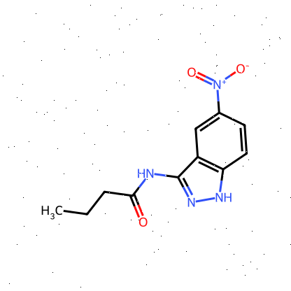 CCCC(=O)Nc1n[nH]c2ccc([N+](=O)[O-])cc12